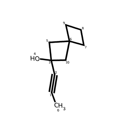 CC#CC1(O)CC2(CCC2)C1